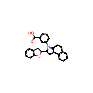 O=C(O)c1cccc(-n2c(C3Cc4ccccc4O3)cc3c4ccccc4ccc32)c1